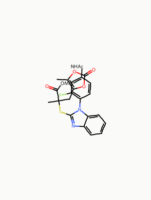 COC(=O)C(C)(Cc1oc(=O)oc1C)Sc1nc2ccccc2n1-c1ccc(NC(C)=O)cc1F